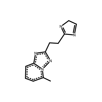 Cc1cccc2nc(CCC3=NCC=N3)nn12